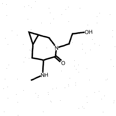 CNC1CC2CC2CN(CCO)C1=O